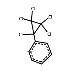 ClC1(Cl)C(Cl)(Cl)C1(Cl)c1[c]cccc1